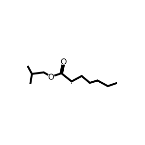 CCCCC[CH]C(=O)OCC(C)C